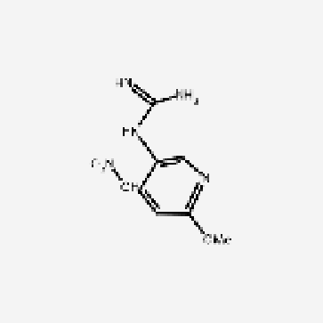 COc1ccc(NC(=N)N)cn1.O=[N+]([O-])O